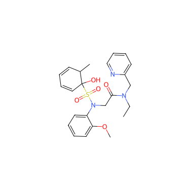 CCN(Cc1ccccn1)C(=O)CN(c1ccccc1OC)S(=O)(=O)C1(O)C=CC=CC1C